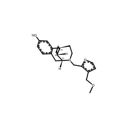 COCc1ccoc1CN1CC[C@]23CCCC[C@H]2[C@H]1Cc1ccc(O)cc13